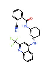 N#Cc1ccccc1C(=O)NC1=C[C@@H](Nc2cc(C(F)(F)F)nc3ccccc23)CCC1